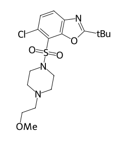 COCCN1CCN(S(=O)(=O)c2c(Cl)ccc3nc(C(C)(C)C)oc23)CC1